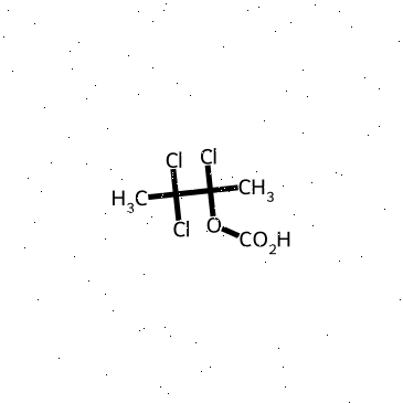 CC(Cl)(Cl)C(C)(Cl)OC(=O)O